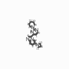 c1cc(-c2cnc3ccc(N4CCC4)cn23)nc(N2CCCCC2)n1